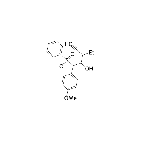 C#CC(CC)C(O)C(c1ccc(OC)cc1)S(=O)(=O)c1ccccc1